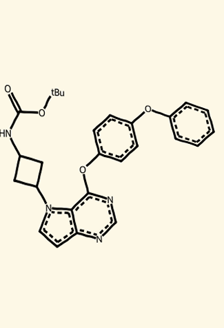 CC(C)(C)OC(=O)NC1CC(n2ccc3ncnc(Oc4ccc(Oc5ccccc5)cc4)c32)C1